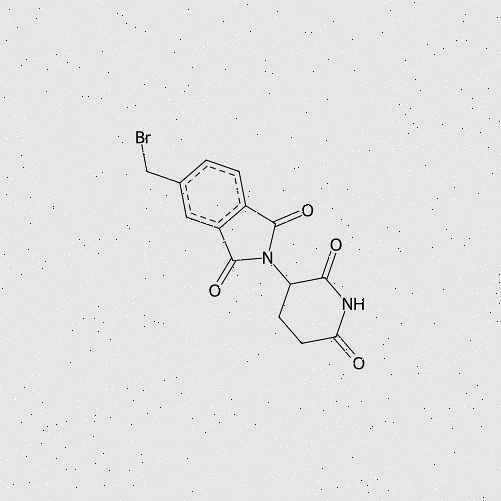 O=C1CCC(N2C(=O)c3ccc(CBr)cc3C2=O)C(=O)N1